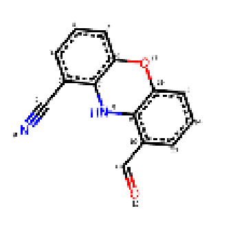 N#Cc1cccc2c1Nc1c(C=O)cccc1O2